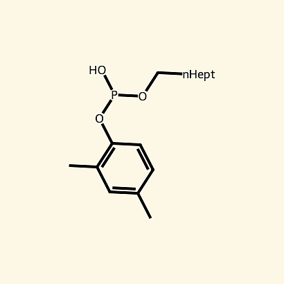 CCCCCCCCOP(O)Oc1ccc(C)cc1C